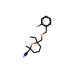 CCC1(COCc2ccccc2F)CCCC(C)(C#N)O1